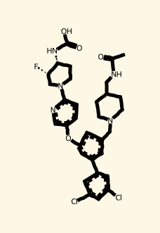 CC(=O)NCC1CCN(Cc2cc(Oc3ccc(N4CC[C@@H](NC(=O)O)[C@@H](F)C4)nc3)cc(-c3cc(Cl)cc(Cl)c3)c2)CC1